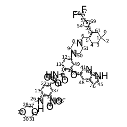 CC1(C)CCC(CN2CCN(c3ccc(C(=O)NS(=O)(=O)c4ccc(NC[C@H]5COCCO5)c([N+](=O)[O-])c4)c(Oc4cnc5[nH]ccc5c4)c3)CC2)=C(C23CC(C(F)F)(C2)C3)C1